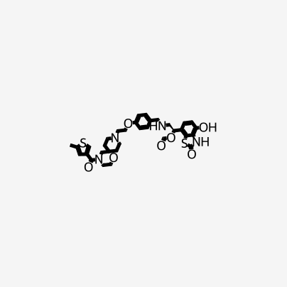 Cc1cc(C(=O)N2CCOC3(CCN(CCOc4ccc(CNC[C@H](OC=O)c5ccc(O)c6[nH]c(=O)sc56)cc4)CC3)C2)cs1